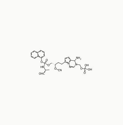 C[C@@H](C=O)NP(=O)(OC[C@H](CCc1ccc2n1N=CN(COP(=O)(O)O)C2N)OC#N)Oc1cccc2ccccc12